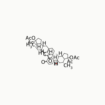 CC(=O)O[C@]1(C(C)=O)CC[C@@H]2C1[C@H](C)C[C@H]1[C@H]2C[C@]2(CCC3=C4[C@H]2C(=O)CC[C@@H]4[C@H]2CC[C@@]4(C)[C@@H](CC[C@]4(OC(C)=O)C(C)=O)[C@@H]2C3)C2=CC(=O)CC[C@@H]21